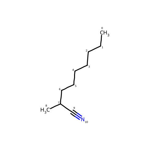 CCCCCCCC(C)C#N